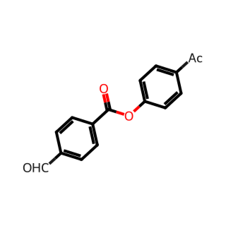 CC(=O)c1ccc(OC(=O)c2ccc(C=O)cc2)cc1